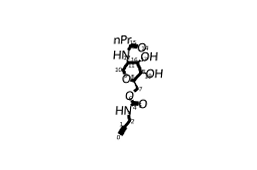 C#CCNC(=O)OC[C@H]1OC[C@H](NC(=O)CCC)[C@@H](O)[C@@H]1O